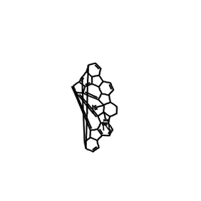 N#CC12C3=C4C5=C6C7C8C=CC9C%10C=CC%11c%12ccc%13c%14c(c4c4c(c%12%14)C%11C%10C(=C54)C97)C1(C#N)C%13CCC2C1C=CC8C6C31